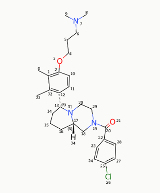 Cc1c(OCCCN(C)C)ccc([C@H]2CCC[C@H]3CN(C(=O)c4ccc(Cl)cc4)CCN32)c1C